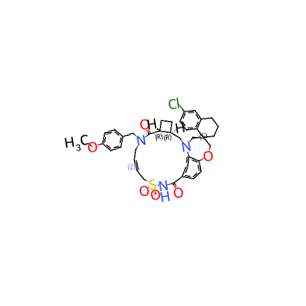 COc1ccc(CN2C/C=C\CS(=O)(=O)NC(=O)c3ccc4c(c3)N(C[C@@H]3CC[C@H]3C2=O)C[C@@]2(CCCc3cc(Cl)ccc32)CO4)cc1